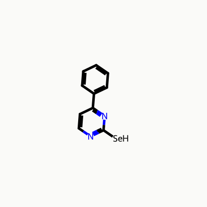 [SeH]c1nccc(-c2ccccc2)n1